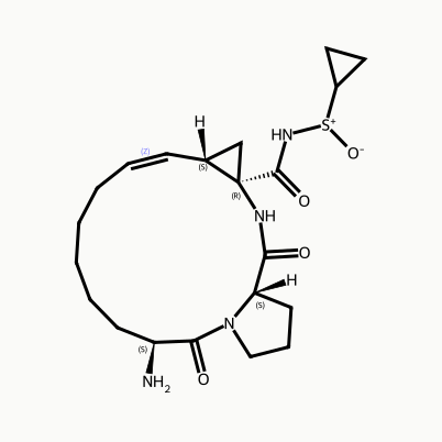 N[C@H]1CCCCC/C=C\[C@@H]2C[C@@]2(C(=O)N[S+]([O-])C2CC2)NC(=O)[C@@H]2CCCN2C1=O